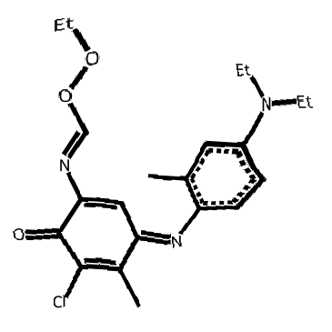 CCOO/C=N/C1=CC(=Nc2ccc(N(CC)CC)cc2C)C(C)=C(Cl)C1=O